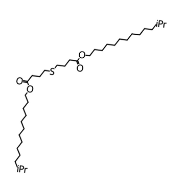 CC(C)CCCCCCCCCCCOC(=O)CCCSCCCC(=O)OCCCCCCCCCCCC(C)C